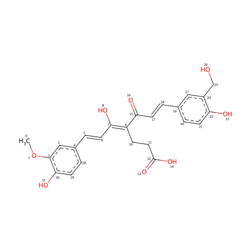 COc1cc(/C=C/C(O)=C(\CCC(=O)O)C(=O)/C=C/c2ccc(O)c(CO)c2)ccc1O